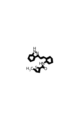 Cc1ccc(C(=O)Nc2ccccc2C=Cc2n[nH]c3ccccc23)s1